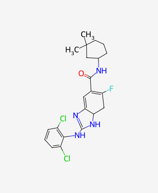 CC1(C)CCCC(NC(=O)C2=C(F)CC3NC(Nc4c(Cl)cccc4Cl)=NC3=C2)C1